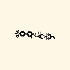 CCc1cnc(N2CC3[C@@H](COc4ccc(-c5ccc(S(C)(=O)=O)cc5)cc4C)[C@@H]3C2)nc1